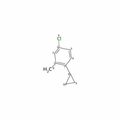 [CH2]c1cc(Cl)ccc1C1CC1